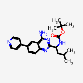 CC(C)CC(NC(=O)OC(C)(C)C)c1nc(N)c2cc(-c3ccncc3)ccc2n1